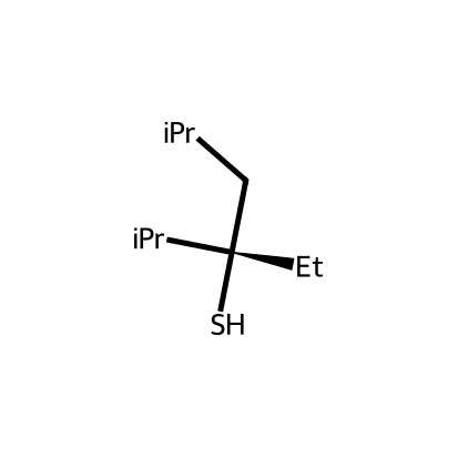 CC[C@](S)(CC(C)C)C(C)C